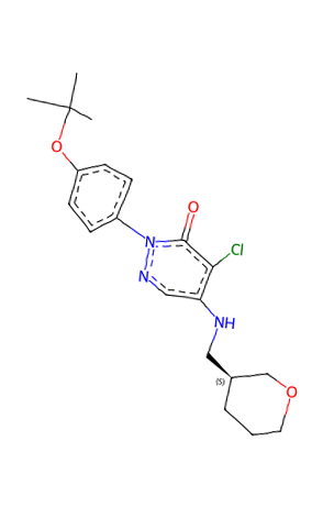 CC(C)(C)Oc1ccc(-n2ncc(NC[C@@H]3CCCOC3)c(Cl)c2=O)cc1